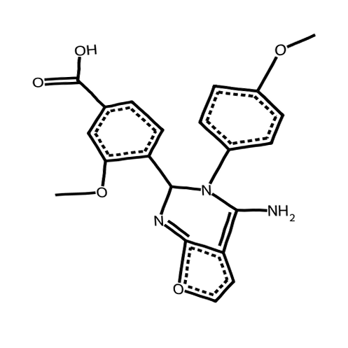 COc1ccc(N2C(N)=c3ccoc3=NC2c2ccc(C(=O)O)cc2OC)cc1